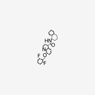 O=C(NC1CCCc2ccccc21)c1ccnc2c(OCc3c(F)cccc3F)cccc12